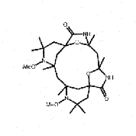 CON1C(C)(C)CC23CC1(C)CC1(C)CC4(CC(C)(C)N1OC)OC(C)(CC(C)(NC2=O)O3)NC4=O